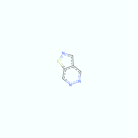 c1nncc2sncc12